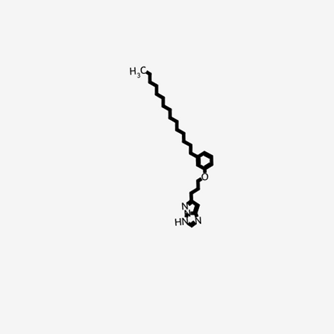 CCCCCCCCCCCCCCCc1cccc(OCCCc2cc3nc[nH]n3n2)c1